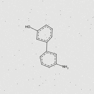 Nc1[c]ccc(-c2cccc(O)c2)c1